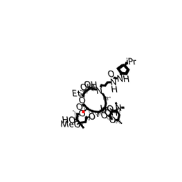 CC[C@H]1OC(=O)[C@H](C)[C@@H](O[C@H]2C[C@@](C)(OC)[C@@H](O)[C@H](C)O2)[C@H](C)[C@@H](O[C@@H]2O[C@H](C)C[C@H](N(C)C)[C@H]2O)[C@](C)(O)C[C@@H](C)CN(CCCNC(=O)Nc2ccc(C(C)C)cc2)[C@H](C)[C@@H](O)[C@]1(C)O